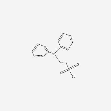 CCS(=O)(=O)CCP(c1ccccc1)c1ccccc1